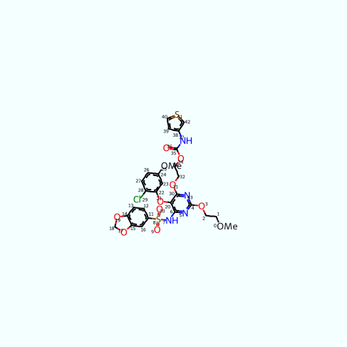 COCCOc1nc(NS(=O)(=O)c2ccc3c(c2)OCO3)c(Oc2cc(OC)ccc2Cl)c(OCCOC(=O)Nc2ccsc2)n1